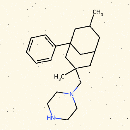 CC1CC2CC(C)(CN3CCNCC3)CC(c3ccccc3)(C1)C2